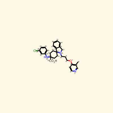 Cc1cnccc1OCCCN1Cc2ccccc2C12CCC(Nc1cccc(Cl)c1)(C(=O)O)CC2